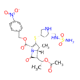 CC(=O)O[C@H](C)[C@H]1C(=O)N2C(C(=O)OCc3ccc([N+](=O)[O-])cc3)=C(S[C@@H]3CN[C@H](CNS(N)(=O)=O)C3)[C@H](C)[C@H]12